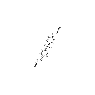 C#CCOc1ccc(C(C)(C)c2ccc(OCC#C)cc2)cc1